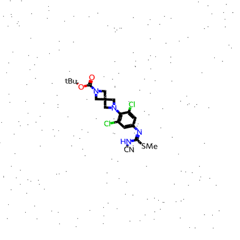 CSC(=Nc1cc(Cl)c(N2CC3(CN(C(=O)OC(C)(C)C)C3)C2)c(Cl)c1)NC#N